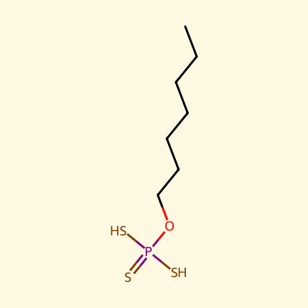 CCCCCCCOP(=S)(S)S